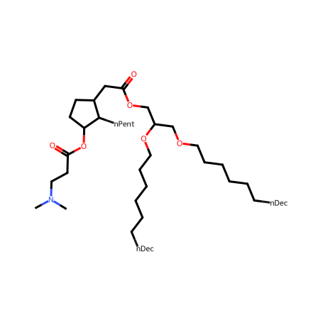 CCCCCCCCCCCCCCCCOCC(COC(=O)CC1CCC(OC(=O)CCN(C)C)C1CCCCC)OCCCCCCCCCCCCCCCC